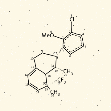 COc1c(Cl)cccc1[C@H]1CCC2=CC=C[C@@](C)(C(F)(F)F)C2[C@H]1C